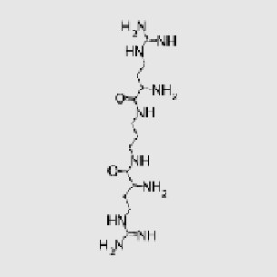 N=C(N)NCCC(N)C(=O)NCCCNC(=O)C(N)CCNC(=N)N